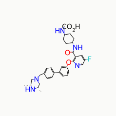 C[C@@H]1CN(Cc2ccc(-c3cccc(Oc4ncc(F)cc4C(=O)N[C@H]4CC[C@H](NC(=O)O)CC4)c3)cc2)C[C@H](C)N1